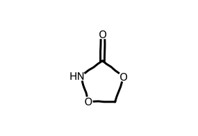 O=C1NOCO1